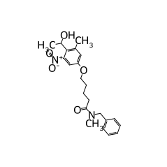 Cc1cc(OCCCCC(=O)N(C)Cc2ccccc2)cc([N+](=O)[O-])c1C(C)O